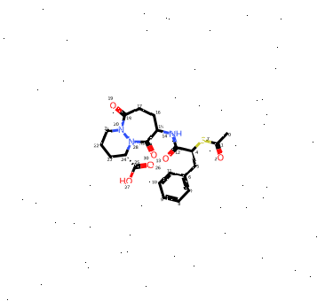 CC(=O)S[C@@H](Cc1ccccc1)C(=O)NC1CCC(=O)N2CCC[C@@H](C(=O)O)N2C1=O